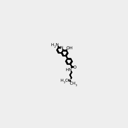 CN(C)CCCNC(=O)c1ccc(-c2cc(O)c3nc(N)ccc3c2)cc1